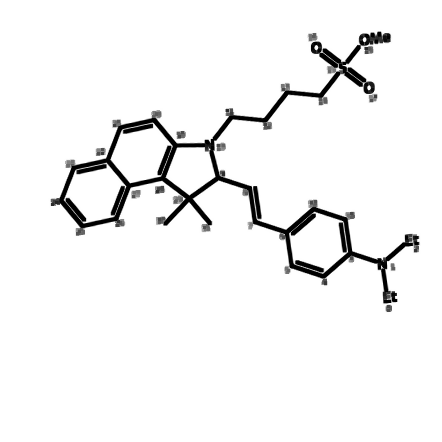 CCN(CC)c1ccc(C=CC2N(CCCCS(=O)(=O)OC)c3ccc4ccccc4c3C2(C)C)cc1